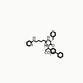 O=C(O)CC(NC(=O)[C@@H](Cc1ccncc1)NC(=O)CCCCNc1ccccn1)c1ccc(-c2ccccc2)cc1